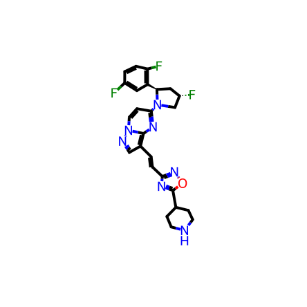 Fc1ccc(F)c([C@H]2C[C@H](F)CN2c2ccn3ncc(/C=C/c4noc(C5CCNCC5)n4)c3n2)c1